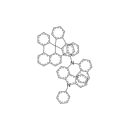 c1ccc(-c2ccc3cccc4c3c2C2(c3ccccc3-c3ccc(N(c5cccc6ccccc56)c5cccc6c5c5ccccc5n6-c5ccccc5)cc32)c2ccccc2-4)cc1